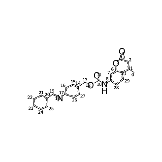 Cc1cc(=O)oc2cc(NC(=O)OCc3ccc(/N=C/c4ccccc4)cc3)ccc12